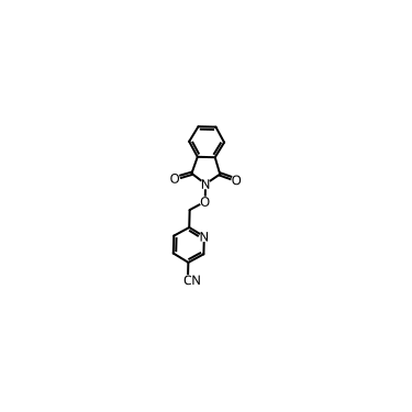 N#Cc1ccc(CON2C(=O)c3ccccc3C2=O)nc1